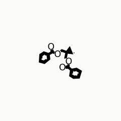 O=C(OCC1(COC(=O)c2ccccc2)[CH]C1)c1ccccc1